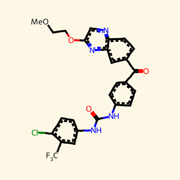 COCCOc1cnc2ccc(C(=O)c3ccc(NC(=O)Nc4ccc(Cl)c(C(F)(F)F)c4)cc3)cc2n1